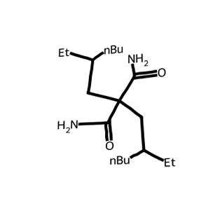 CCCCC(CC)CC(CC(CC)CCCC)(C(N)=O)C(N)=O